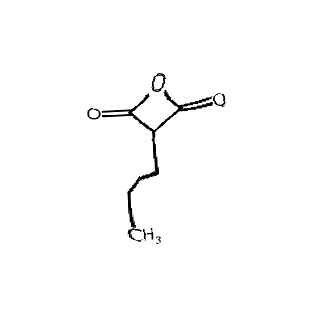 CCCC1C(=O)OC1=O